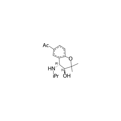 CC(=O)c1ccc2c(c1)[C@@H](NC(C)C)[C@H](O)C(C)(C)O2